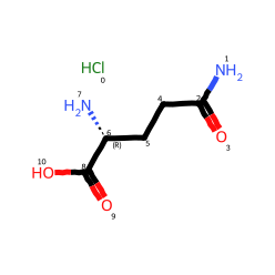 Cl.NC(=O)CC[C@@H](N)C(=O)O